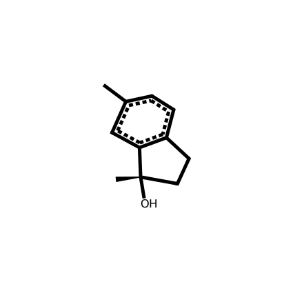 Cc1ccc2c(c1)[C@@](C)(O)CC2